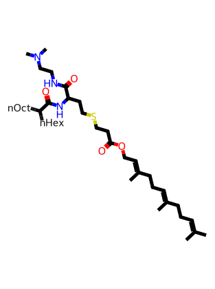 CCCCCCCCC(CCCCCC)C(=O)NC(CCSCCC(=O)OC/C=C(\C)CC/C=C(\C)CCC=C(C)C)C(=O)NCCN(C)C